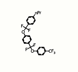 CCCc1ccc(C(F)(F)Oc2ccc(C(F)(F)Oc3ccc(C(F)(F)F)cc3)cc2)cc1